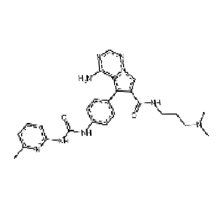 Cc1cccc(NC(=O)Nc2ccc(-c3c(C(=O)NCCCN(C)C)cn4ncnc(N)c34)cc2)n1